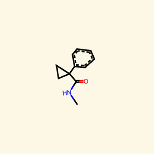 CNC(=O)C1(c2ccccc2)CC1